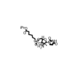 CC(C)OC(=O)CCCCCO[P@@]1(=O)OC[C@H]2O[C@@H](n3ccc(=O)[nH]c3=O)[C@](C)(N)[C@@H]2O1